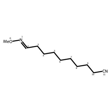 CON=CCCCCCCCCC#N